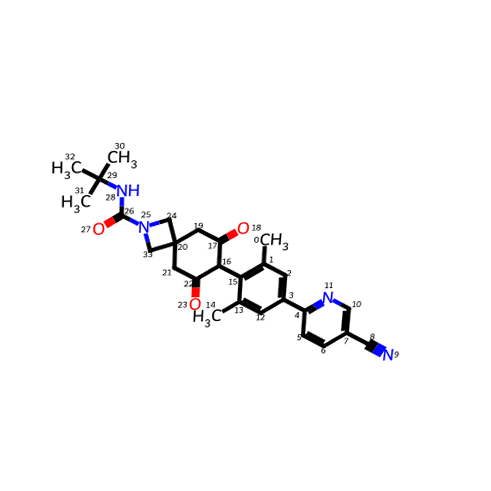 Cc1cc(-c2ccc(C#N)cn2)cc(C)c1C1C(=O)CC2(CC1=O)CN(C(=O)NC(C)(C)C)C2